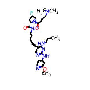 CCCNc1nc(Nc2ccnc(OC)c2)ncc1C#CCCCNC(=O)[C@@H]1C[C@H](F)CN1C(=O)/C=C/CN(C)C